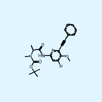 COc1c(Br)cc(NC(=O)C(C)N(C)C(=O)OC(C)(C)C)nc1C#Cc1ccccc1